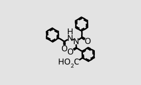 O=C(NN(C(=O)c1ccccc1)C(=O)c1ccccc1C(=O)O)c1ccccc1